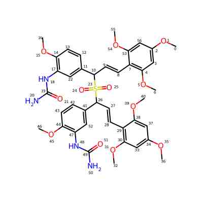 COc1cc(OC)c(C=CC(c2ccc(OC)c(NC(N)=O)c2)S(=O)(=O)C(C=Cc2c(OC)cc(OC)cc2OC)c2ccc(OC)c(NC(N)=O)c2)c(OC)c1